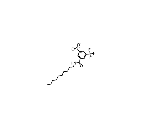 CCCCCCCCCCNC(=O)c1cc([N+](=O)[O-])cc(C(F)(F)F)c1